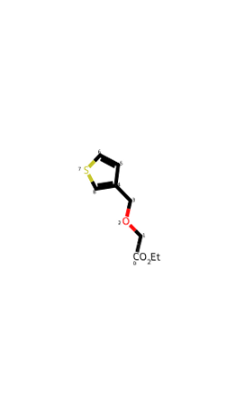 CCOC(=O)COCc1ccsc1